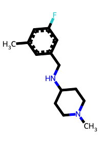 Cc1cc(F)cc(CNC2CCN(C)CC2)c1